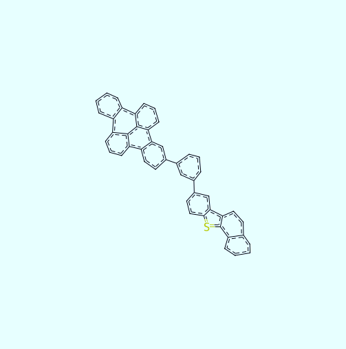 c1cc(-c2ccc3sc4c5ccccc5ccc4c3c2)cc(-c2ccc3c(c2)c2cccc4c5ccccc5c5cccc3c5c42)c1